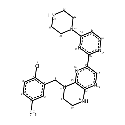 FC(F)(F)c1ccc(Cl)c(CN2CCNc3ncc(-c4nccc(N5CCNCC5)n4)nc32)c1